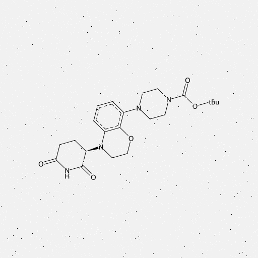 CC(C)(C)OC(=O)N1CCN(c2cccc3c2OCCN3[C@@H]2CCC(=O)NC2=O)CC1